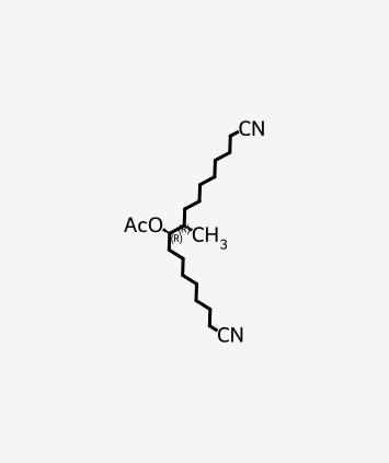 CC(=O)O[C@H](CCCCCCCC#N)[C@H](C)CCCCCCCC#N